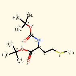 CSCC[C@H](NC(=O)OC(C)(C)C)C(=O)OC(C)(C)C